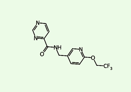 O=C(NCc1ccc(OCC(F)(F)F)nc1)c1ccncn1